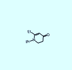 CCC1=CC(=O)CCN1C(C)C